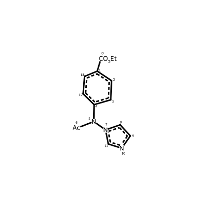 CCOC(=O)c1ccc(N(C(C)=O)n2ccnc2)cc1